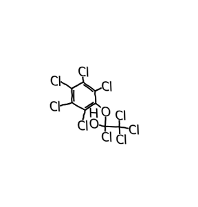 OC(Cl)(Oc1c(Cl)c(Cl)c(Cl)c(Cl)c1Cl)C(Cl)(Cl)Cl